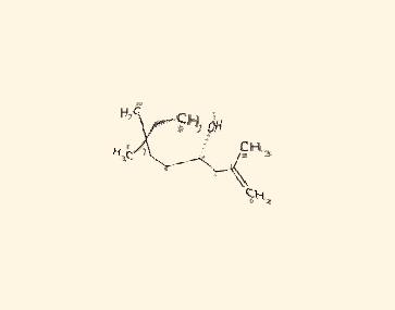 C=C(C)C[C@@H](O)CC(C)(C)C